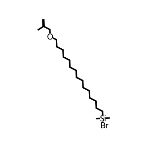 C=C(C)COCCCCCCCCCCCCCCC[Si](C)(C)Br